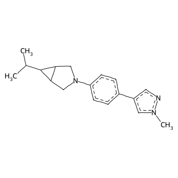 CC(C)C1C2CN(c3ccc(-c4cnn(C)c4)cc3)CC21